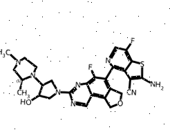 C[C@H]1CN(C)CCN1C1CN(c2ncc3c4c(c(-c5ncc(F)c6sc(N)c(C#N)c56)c(F)c3n2)COC4)CC1O